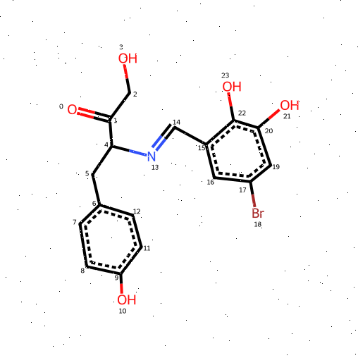 O=C(CO)C(Cc1ccc(O)cc1)N=Cc1cc(Br)cc(O)c1O